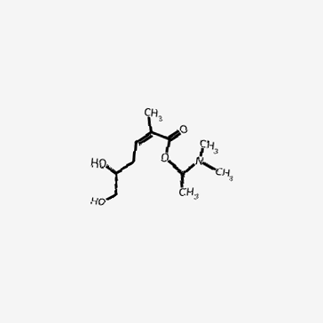 CC(=CCC(O)CO)C(=O)OC(C)N(C)C